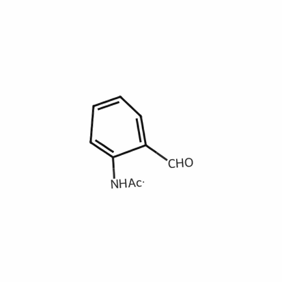 CC(=O)[N]c1ccccc1C=O